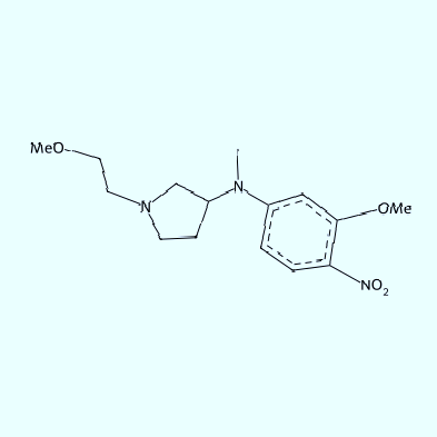 COCCN1CCC(N(C)c2ccc([N+](=O)[O-])c(OC)c2)C1